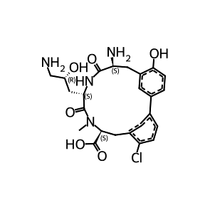 CN1C(=O)[C@H](C[C@@H](O)CN)NC(=O)[C@@H](N)Cc2cc(ccc2O)-c2ccc(Cl)c(c2)C[C@H]1C(=O)O